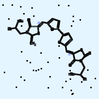 C=c1s/c(=C\c2ccc(-c3ccc(/C=C4\SC(=S)N(CC(CC)CCCC)C4=O)o3)o2)c(=O)n1CC(CC)CCCC